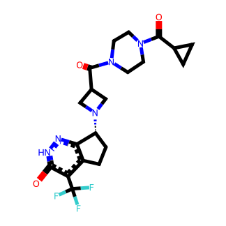 O=C(C1CC1)N1CCN(C(=O)C2CN([C@@H]3CCc4c3n[nH]c(=O)c4C(F)(F)F)C2)CC1